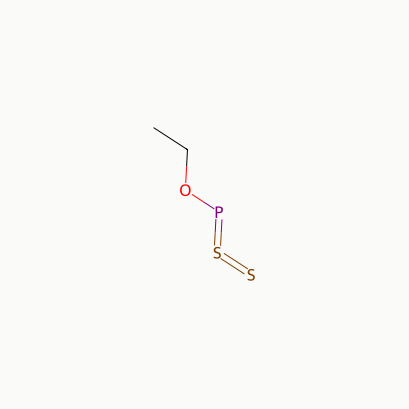 CCOP=S=S